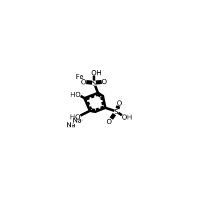 O=S(=O)(O)c1cc(O)c(O)c(S(=O)(=O)O)c1.[Fe].[Na].[Na]